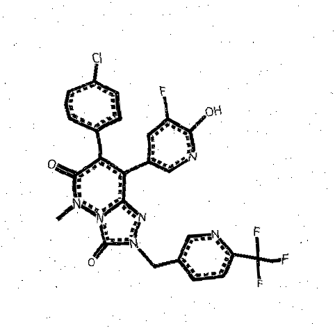 Cn1c(=O)c(-c2ccc(Cl)cc2)c(-c2cnc(O)c(F)c2)c2nn(Cc3ccc(C(F)(F)F)nc3)c(=O)n21